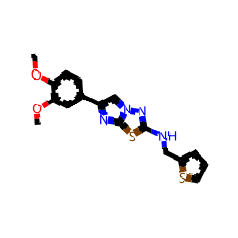 COc1ccc(-c2cn3nc(NCc4cccs4)sc3n2)cc1OC